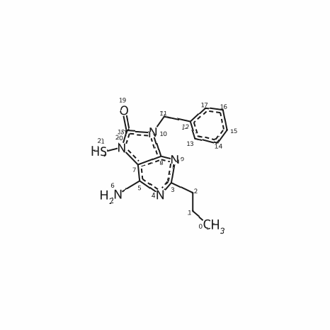 CCCc1nc(N)c2c(n1)n(Cc1ccccc1)c(=O)n2S